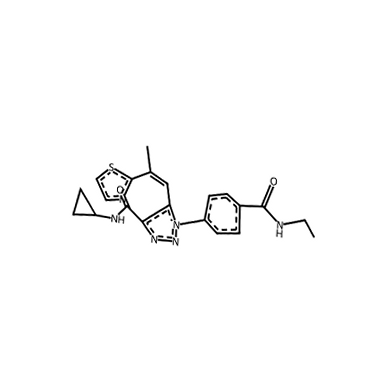 CCNC(=O)c1ccc(-n2nnc(C(=O)NC3CC3)c2/C=C(/C)c2nccs2)cc1